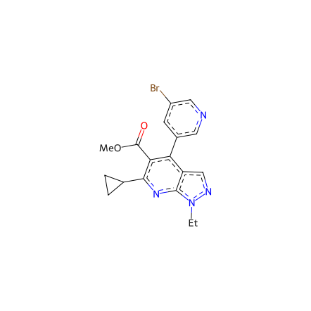 CCn1ncc2c(-c3cncc(Br)c3)c(C(=O)OC)c(C3CC3)nc21